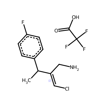 CC(/C(=C/Cl)CN)c1ccc(F)cc1.O=C(O)C(F)(F)F